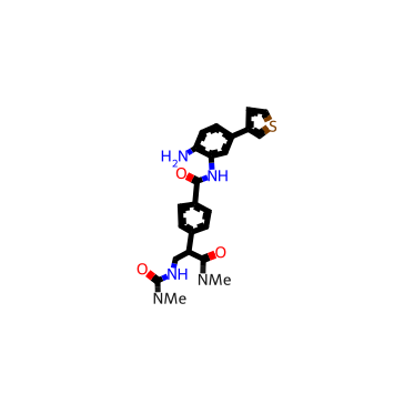 CNC(=O)NCC(C(=O)NC)c1ccc(C(=O)Nc2cc(-c3ccsc3)ccc2N)cc1